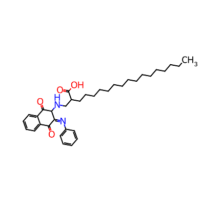 CCCCCCCCCCCCCCCCC(CNC1C(=O)c2ccccc2C(=O)C1=Nc1ccccc1)C(=O)O